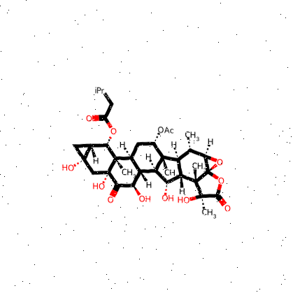 CC(=O)O[C@H]1C[C@H]2[C@H]([C@@H]3[C@@H](O)[C@@H]4[C@H]([C@H](C)[C@H]5O[C@]56OC(=O)[C@@](C)(O)[C@]46C)[C@]31C)[C@@H](O)C(=O)[C@@]1(O)C[C@@]3(O)C[C@@H]3[C@H](OC(=O)CC(C)C)[C@]21C